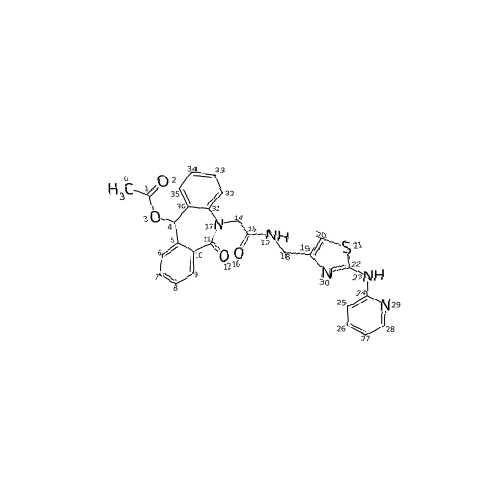 CC(=O)OC1c2ccccc2C(=O)N(CC(=O)NCc2csc(Nc3ccccn3)n2)c2ccccc21